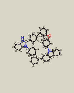 c1ccc(-c2ccc3c4ccccc4n(-c4ccc5c(c4)oc4cccc(-c6ccc(C7Nc8ccccc8N7c7ccccc7)cc6)c45)c3c2)cc1